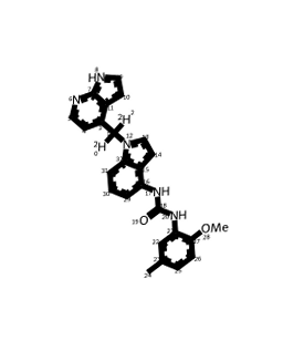 [2H]C([2H])(c1ccnc2[nH]ccc12)n1ccc2c(NC(=O)Nc3cc(C)ccc3OC)cccc21